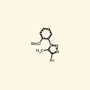 COc1ccccc1-n1nnc(C(C)=O)c1C